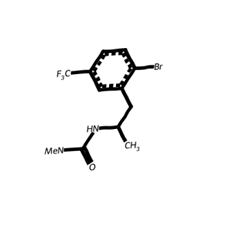 CNC(=O)NC(C)Cc1cc(C(F)(F)F)ccc1Br